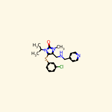 CC(C)n1c(Sc2cccc(Cl)c2)c(CNCc2ccncc2)n(C)c1=O